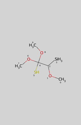 COC([SiH3])C(S)(OC)OC